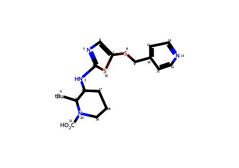 CC(C)(C)C1C(Nc2ncc(SCc3ccncc3)s2)CCCN1C(=O)O